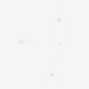 CN(C)CCN1CCN(C)CC1.[Cl-].[Cl-].[Zn+2]